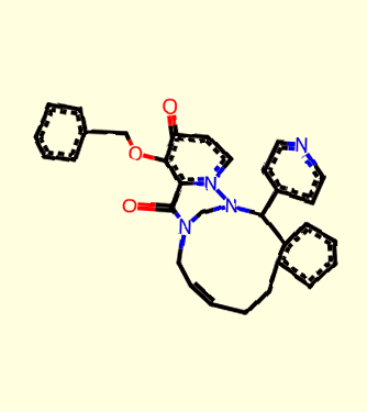 O=C1c2c(OCc3ccccc3)c(=O)ccn2N2CN1C/C=C\CCc1ccccc1C2c1ccncc1